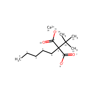 CCCCCC(C(=O)[O-])(C(=O)[O-])C(C)(C)C.[Ca+2]